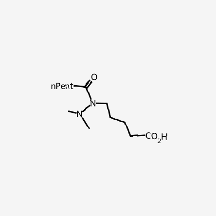 CCCCCC(=O)N(CCCCC(=O)O)N(C)C